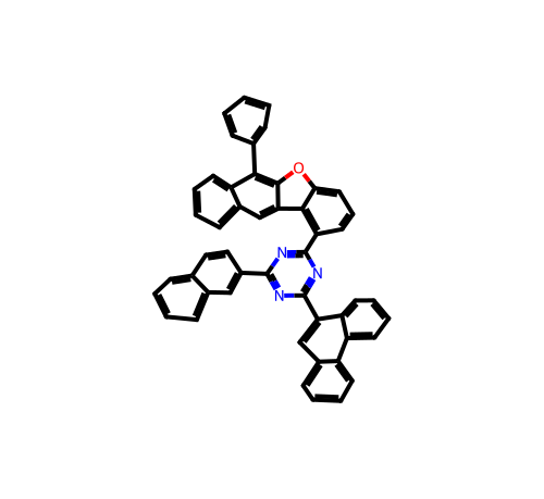 c1ccc(-c2c3ccccc3cc3c2oc2cccc(-c4nc(-c5ccc6ccccc6c5)nc(-c5cc6ccccc6c6ccccc56)n4)c23)cc1